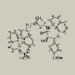 COc1ccc(C2Sc3cccc4cccc(c34)N(CCN(C)C)C(=O)C2O)cc1.O=P1(O)Oc2ccc3ccccc3c2-c2c(ccc3ccccc23)O1